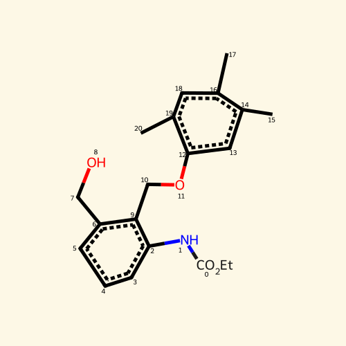 CCOC(=O)Nc1cccc(CO)c1COc1cc(C)c(C)cc1C